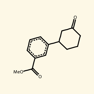 COC(=O)c1cccc(C2CCCC(=O)C2)c1